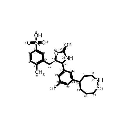 Cc1ccc(S(=O)(=O)O)cc1C[C@H]1OC(=O)NC1c1cc(F)cc(C2CCCSNCC2)c1